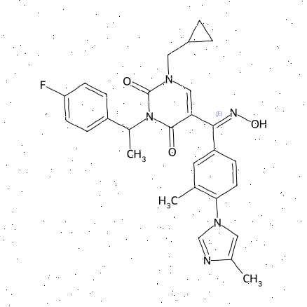 Cc1cn(-c2ccc(/C(=N\O)c3cn(CC4CC4)c(=O)n(C(C)c4ccc(F)cc4)c3=O)cc2C)cn1